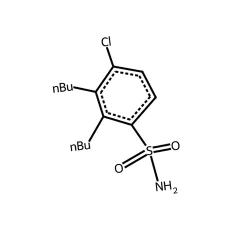 CCCCc1c(Cl)ccc(S(N)(=O)=O)c1CCCC